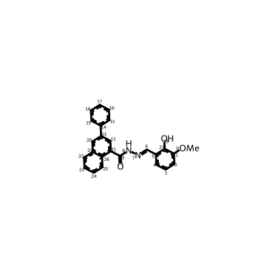 COc1cccc(/C=N/NC(=O)c2cc(-c3ccccc3)cc3ccccc23)c1O